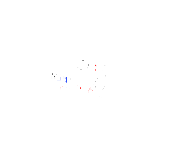 C=CC1(C)C=C(C)C2C3C(Oc4ccc(cc4)CC4(OC)NC(=O)CC4OCC(=O)C31)C1C(C)CC(C)CC21C